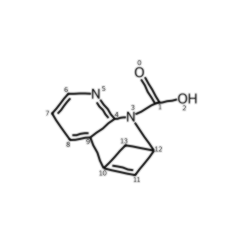 O=C(O)N1c2ncccc2C2=CC1C2